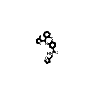 Cc1ccsc1C1=Nc2cc(C(=O)NCc3ccco3)ccc2Sc2ccccc21